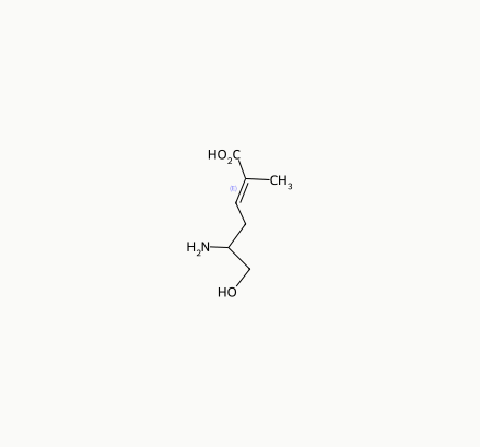 C/C(=C\CC(N)CO)C(=O)O